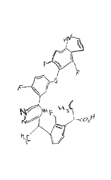 CC(C(=O)O)c1cccc(C(C)c2nnc(-c3cc(Oc4c(F)cc5[nH]ccc5c4F)ccc3F)[nH]2)c1F